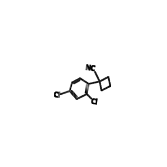 N#CC1(c2ccc(Cl)cc2Cl)CCC1